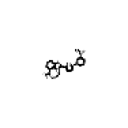 C=[N+]([O-])c1cccc(-c2ccc(-c3nc4cccc5c4n3CCNC5=O)o2)c1